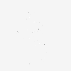 CCN(C)[C@](C)(COC1[C@H](n2nnc(N)n2)C[C@@]23COC[C@]1(C)[C@@H]2CC[C@H]1C3=CC[C@@]2(C)[C@H](C(=O)O)[C@@](C)([C@H](C)C(C)C)CC[C@]12C)C(C)C